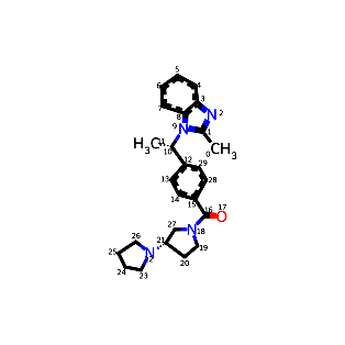 Cc1nc2ccccc2n1[C@@H](C)c1ccc(C(=O)N2CC[C@H](N3CCCC3)C2)cc1